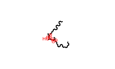 CC/C=C\C/C=C\C/C=C\C/C=C\C/C=C\CCCCOC(CC)C(=O)OCC(CO)OC(=O)C(CC)OCCCC/C=C\C/C=C\C/C=C\C/C=C\C/C=C\CC